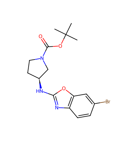 CC(C)(C)OC(=O)N1CC[C@H](Nc2nc3ccc(Br)cc3o2)C1